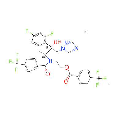 C[C@@H](N(CCOC(=O)c1ccc(C(F)(F)F)cc1)C(=O)c1ccc(C(F)(F)F)cc1)[C@](O)(Cn1cncn1)c1ccc(F)cc1F